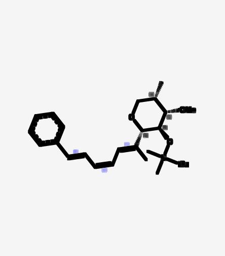 CO[C@@H]1[C@@H](O[Si](C)(C)C(C)(C)C)[C@H](/C(C)=C/C=C\C=C\c2ccccc2)OC[C@@H]1C